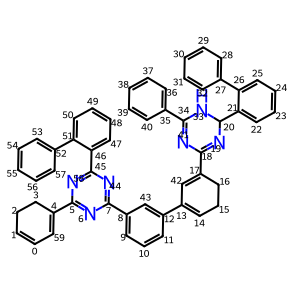 C1=CCCC(c2nc(-c3cccc(C4=CCCC(C5=NC(c6ccccc6-c6ccccc6)NC(c6ccccc6)=N5)=C4)c3)nc(-c3ccccc3-c3ccccc3)n2)=C1